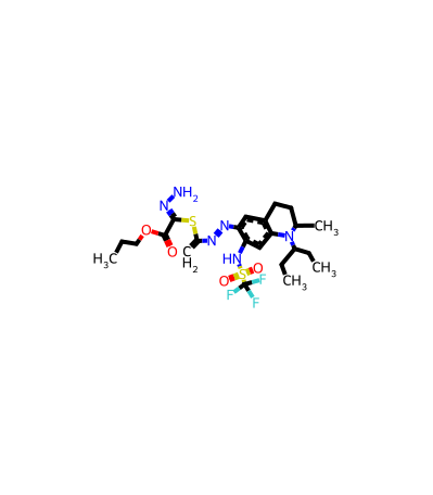 C=C(/N=N/c1cc2c(cc1NS(=O)(=O)C(F)(F)F)N(C(CC)CC)C(C)CC2)S/C(=N\N)C(=O)OCCC